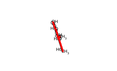 CCC=C(O)CCCCCCCCCCCCC(=O)NC(CCC(=O)NCCOCCOCC(=O)NCCOCCOCC(=O)O)C(=O)OC